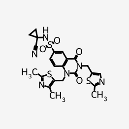 Cc1ncc(Cn2c(=O)c3cc(S(=O)(=O)NC4(C#N)CC4)ccc3n(Cc3sc(C)nc3C)c2=O)s1